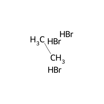 Br.Br.Br.CC